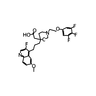 COc1ccc2ncc(F)c(CCCC3(CC(=O)O)CCN(CCOc4cc(F)c(F)c(F)c4)CC3)c2c1